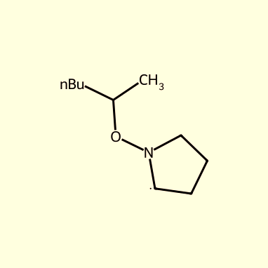 CCCCC(C)ON1[CH]CCC1